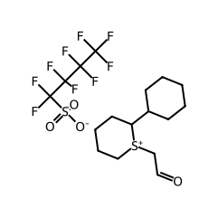 O=CC[S+]1CCCCC1C1CCCCC1.O=S(=O)([O-])C(F)(F)C(F)(F)C(F)(F)C(F)(F)F